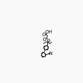 CCC(CC)(OC(=O)CC(=O)O)c1ccc(-c2ccccc2C#N)cc1